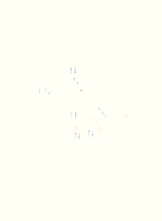 CC(C)(CN(CC1CCC[C@H](Cn2cnc3ccc(N)cc32)C1)C(=O)O)c1nc(C(F)(F)F)no1